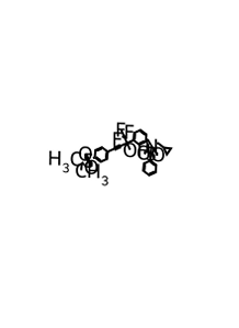 CC(C)S(=O)(=O)c1ccc(C#CC(O)(c2cccc(N(CC3CC3)S(=O)(=O)c3ccccc3)c2)C(F)(F)F)cc1